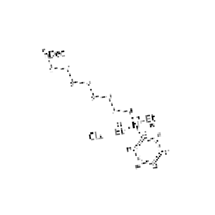 CCCCCCCCCCCCCCCCCC[N+](CC)(CC)c1ccccc1.[Cl-]